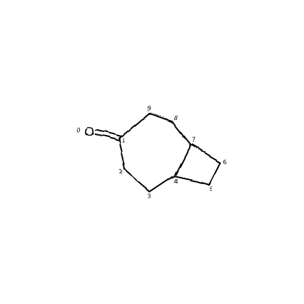 O=C1CCC2CCC2CC1